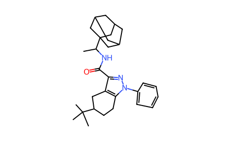 CC(NC(=O)c1nn(-c2ccccc2)c2c1CC(C(C)(C)C)CC2)C12CC3CC(CC(C3)C1)C2